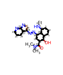 CCNc1cccc2c(O)c(C(=O)N(C)C)cc(/N=N/c3snc4ncccc34)c12